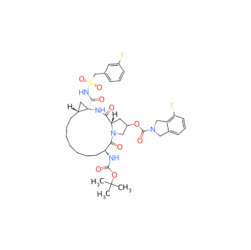 CC(C)(C)OC(=O)N[C@H]1CCCCCCC[C@@H]2C[C@@]2(C(=O)NS(=O)(=O)Cc2cccc(F)c2)NC(=O)[C@@H]2CC(OC(=O)N3Cc4cccc(F)c4C3)CN2C1=O